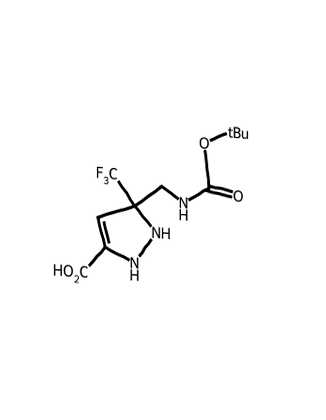 CC(C)(C)OC(=O)NCC1(C(F)(F)F)C=C(C(=O)O)NN1